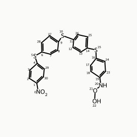 O=[N+]([O-])c1ccc(Sc2ccc(Sc3ccc(Sc4ccc(NOO)cc4)cc3)cc2)cc1